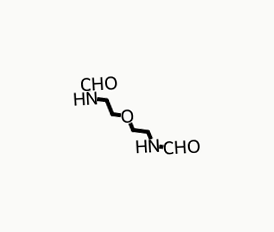 O=CNCCOCCNC=O